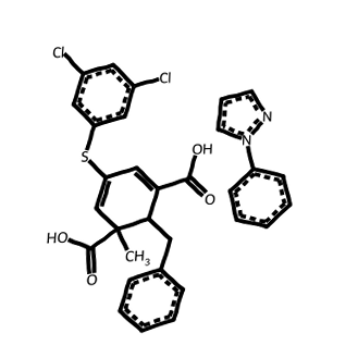 CC1(C(=O)O)C=C(Sc2cc(Cl)cc(Cl)c2)C=C(C(=O)O)C1Cc1ccccc1.c1ccc(-n2cccn2)cc1